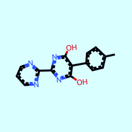 Cc1ccc(-c2c(O)nc(-c3ncccn3)nc2O)cc1